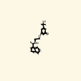 C[C@@H](NCCOc1cc(Br)cc(C(C)(C)O)c1)c1cccc2ccccc12